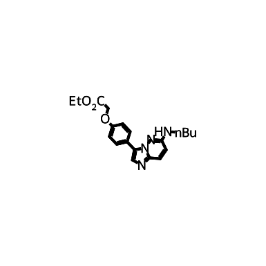 CCCCNc1ccc2ncc(-c3ccc(OCC(=O)OCC)cc3)n2n1